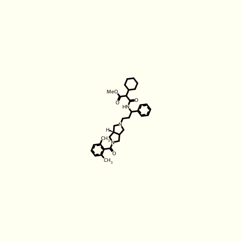 COC(=O)C(C(=O)NC(CCN1CC2CN(C(=O)c3c(C)cccc3C)C[C@@H]2C1)c1ccccc1)C1CCCCC1